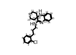 Clc1ccccc1CCCNC1=Nc2ccccc2NC12CCSCC2